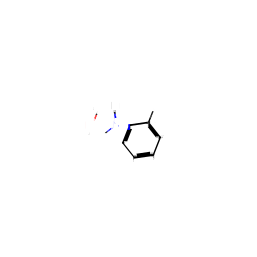 CCNCC.CCO.O=Cc1ccccc1